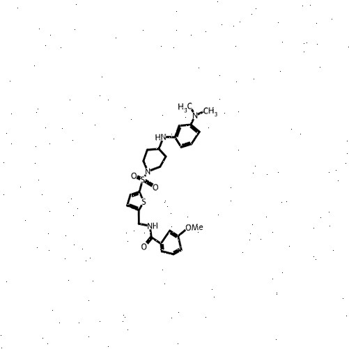 COc1cccc(C(=O)NCc2ccc(S(=O)(=O)N3CCC(Nc4cccc(N(C)C)c4)CC3)s2)c1